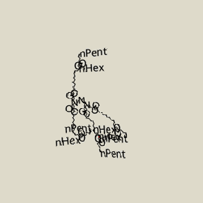 CCCCC/C=C\CCC(=O)OC(C/C=C\CCCCCCCCOC(=O)CCN(CCC(=O)OCCCCCCCC/C=C\CC(CCCCCC)OC(=O)CC/C=C\CCCCC)CCN(C)CCN(CCC(=O)OCCCCCCCC/C=C\CC(CCCCCC)OC(=O)CC/C=C\CCCCC)CCC(=O)OCCCCCCCC/C=C\CC(CCCCCC)OC(=O)CC/C=C\CCCCC)CCCCCC